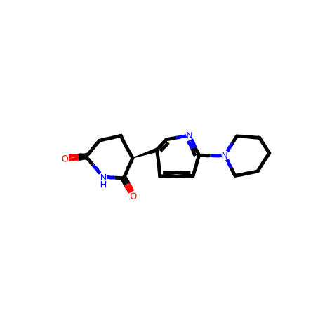 O=C1CC[C@@H](c2ccc(N3CCCCC3)nc2)C(=O)N1